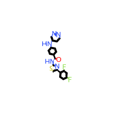 O=C(Nc1nc(-c2ccc(F)cc2F)cs1)c1ccc(Nc2ccnnc2)cc1